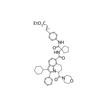 CCOC(=O)/C=C/c1ccc(NC(=O)C2(NC(=O)c3ccc4c(C5CCCCC5)c(-c5ccccc5)n5c4c3CCC5C(=O)N3CCOCC3)CCCC2)cc1